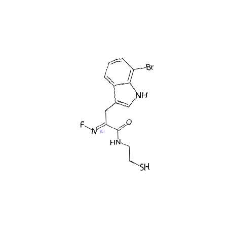 O=C(NCCS)/C(Cc1c[nH]c2c(Br)cccc12)=N/F